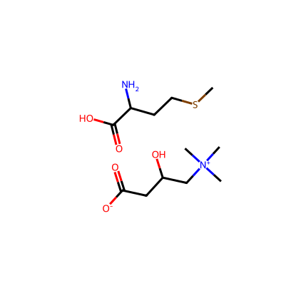 CSCCC(N)C(=O)O.C[N+](C)(C)CC(O)CC(=O)[O-]